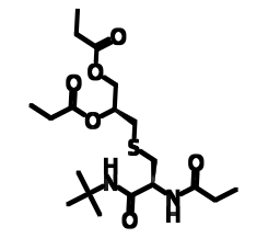 CCC(=O)N[C@H](CSC[C@H](COC(=O)CC)OC(=O)CC)C(=O)NC(C)(C)C